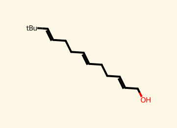 CC(C)(C)/C=C/CC/C=C/CC/C=C/CO